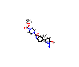 CCOC(=O)N1CCN(c2nc3ccc(C4=NNC(=O)CC4C)cc3o2)CC1